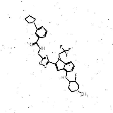 CN1CC[C@@H](Nc2cccc3c2cc(-c2noc(CNC(=O)c4cccc(N5CCCC5)c4)n2)n3CC(F)(F)F)[C@@H](F)C1